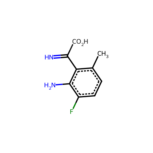 Cc1ccc(F)c(N)c1C(=N)C(=O)O